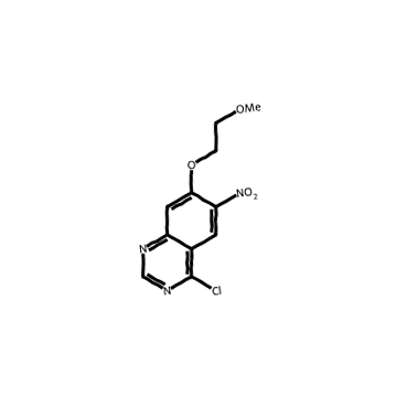 COCCOc1cc2ncnc(Cl)c2cc1[N+](=O)[O-]